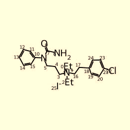 CC[N+](CC)(CCCN(C(N)=O)c1ccccc1)CCc1ccc(Cl)cc1.[I-]